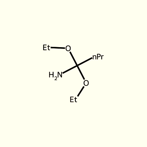 CCCC(N)(OCC)OCC